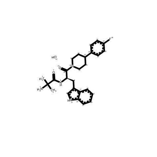 CC(C)(N)C(=O)N[C@H](Cc1c[nH]c2ccccc12)C(=O)N1CCC(c2ccc(F)cc2)CC1.Cl